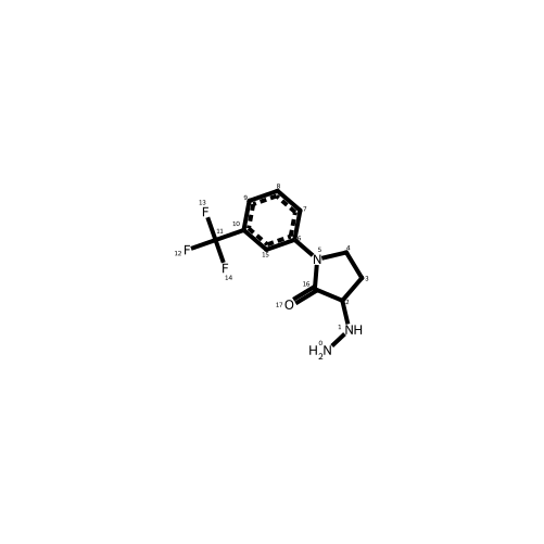 NNC1CCN(c2cccc(C(F)(F)F)c2)C1=O